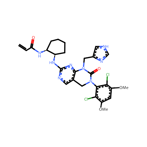 C=CC(=O)N[C@H]1CCCC[C@H]1Nc1ncc2c(n1)N(Cc1c[nH]cn1)C(=O)N(c1c(Cl)c(OC)cc(OC)c1Cl)C2